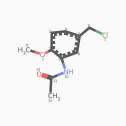 COc1ccc(CCl)cc1NC(C)=O